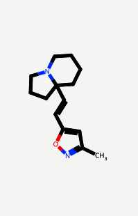 Cc1cc(C=CC23CCCCN2CCC3)on1